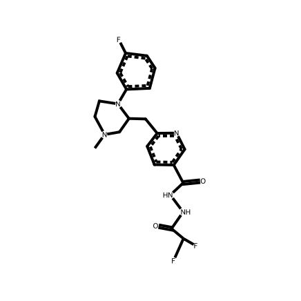 CN1CCN(c2cccc(F)c2)C(Cc2ccc(C(=O)NNC(=O)C(F)F)cn2)C1